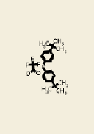 CC(C)(C)c1ccc([I+]c2ccc(C(C)(C)C)cc2)cc1.O=C([O-])C(F)(F)F